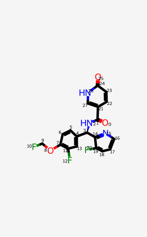 O=C(N[C@H](c1ccc(OCF)c(F)c1)c1ncccc1F)c1ccc(=O)[nH]c1